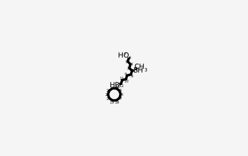 CBC(CCCCO)CCCCCBC1CCCCCCCCC1